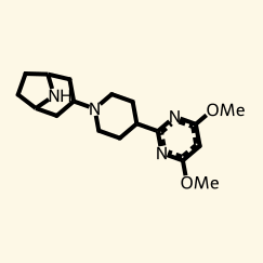 COc1cc(OC)nc(C2CCN(C3CC4CCC(C3)N4)CC2)n1